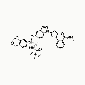 C[C@H](NC(=O)C(C)(F)F)[C@H](Oc1ccc2c(cnn2C2CCC(c3ccccc3C(N)=O)C2)c1)c1ccc2c(c1)OCOC2